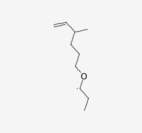 C=CC(C)CCCO[CH]CC